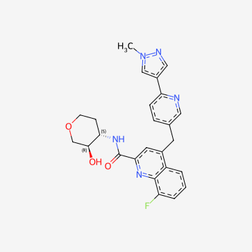 Cn1cc(-c2ccc(Cc3cc(C(=O)N[C@H]4CCOC[C@@H]4O)nc4c(F)cccc34)cn2)cn1